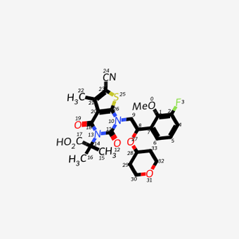 COc1c(F)cccc1C(Cn1c(=O)n(C(C)(C)C(=O)O)c(=O)c2c(C)c(C#N)sc21)OC1CCOCC1